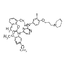 COc1ccc(OC)c(N(C(=O)Oc2c(C)cccc2C)c2ccnc(Nc3ccc(OCCCN4CCCCC4)c(F)c3)n2)c1